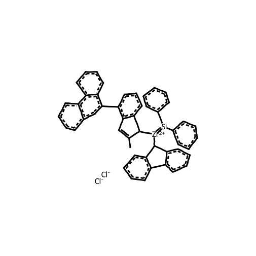 CC1=Cc2c(-c3cc4ccccc4c4ccccc34)cccc2[CH]1[Zr+2]([CH]1c2ccccc2-c2ccccc21)=[Si](c1ccccc1)c1ccccc1.[Cl-].[Cl-]